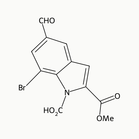 COC(=O)c1cc2cc(C=O)cc(Br)c2n1C(=O)O